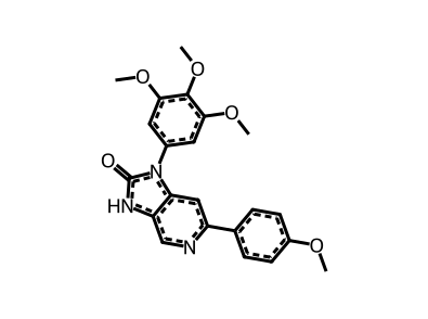 COc1ccc(-c2cc3c(cn2)[nH]c(=O)n3-c2cc(OC)c(OC)c(OC)c2)cc1